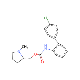 CN1CCC[C@H]1COC(=O)Nc1ccccc1-c1ccc(Cl)cc1